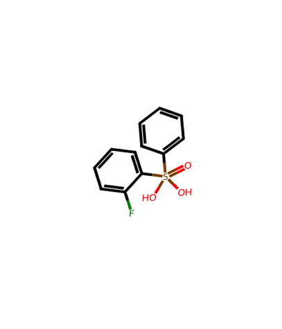 O=S(O)(O)(c1ccccc1)c1ccccc1F